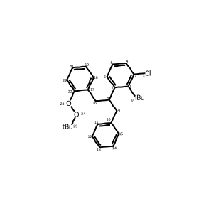 CCC(C)c1c(Cl)cccc1[C](Cc1ccccc1)Cc1ccccc1OOC(C)(C)C